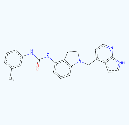 O=C(Nc1cccc(C(F)(F)F)c1)Nc1cccc2c1CCN2Cc1ccnc2[nH]ccc12